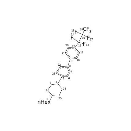 CCCCCCC1CCC(c2ccc(-c3ccc(C(F)(F)C(F)(F)C(F)(F)F)cc3)cc2)CC1